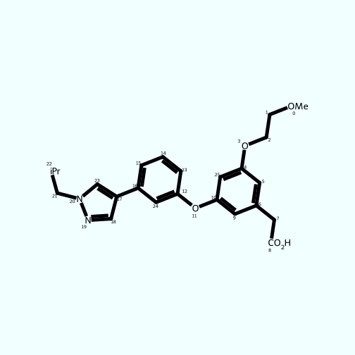 COCCOc1cc(CC(=O)O)cc(Oc2cccc(-c3cnn(CC(C)C)c3)c2)c1